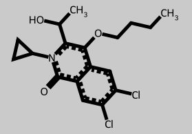 CCCCOc1c(C(C)O)n(C2CC2)c(=O)c2cc(Cl)c(Cl)cc12